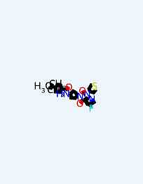 CC(C)(C)C1CCC(C(=O)NC2CCC(n3c(=O)c4cc(F)cnc4n(C4CCSCC4)c3=O)CC2)CC1